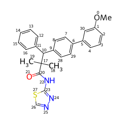 COc1cccc(-c2ccc(C(c3ccccc3)C(C)(C)C(=O)Nc3nncs3)cc2)c1